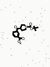 COC(=O)c1cccc(C(=O)C2CCN(C(=O)OC(C)(C)C)CC2)c1